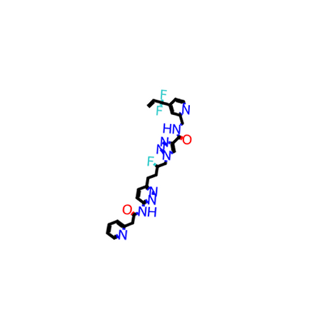 C=CC(F)(F)c1ccnc(CNC(=O)c2cn(CC(F)CCc3ccc(NC(=O)Cc4ccccn4)nn3)nn2)c1